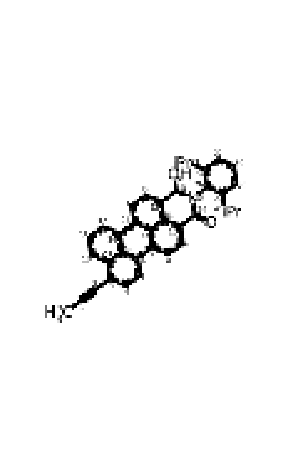 CC#Cc1ccc2c3ccc4c5c(ccc(c6cccc1c26)c53)C(O)N(c1c(C(C)C)cccc1C(C)C)C4=O